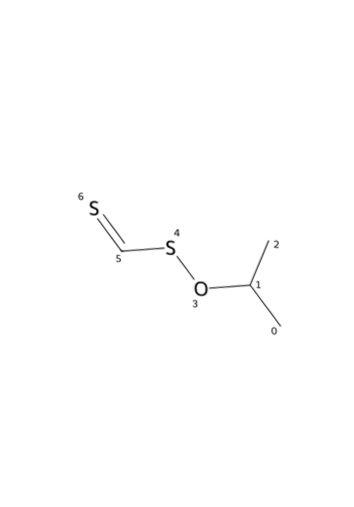 CC(C)OSC=S